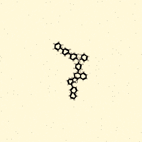 C1=CC2c3oc4c(-c5ccc6ccccc6c5)cccc4c3CC(c3ccc(N(c4ccccc4)c4ccc(-c5ccc(-c6ccccc6)cc5)cc4)cc3)C2C=C1